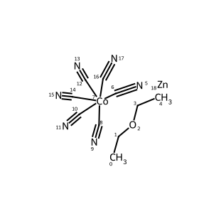 CCOCC.N#[C][Co]([C]#N)([C]#N)([C]#N)([C]#N)[C]#N.[Zn]